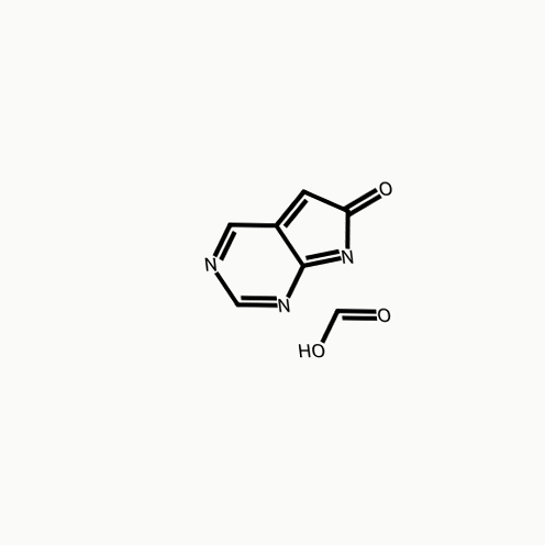 O=C1C=c2cncnc2=N1.O=CO